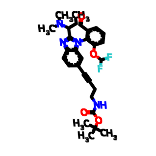 CCC(c1nc2ccc(C#CCCNC(=O)OC(C)(C)C)cc2n1-c1c(C=O)cccc1OC(F)F)N(C)C